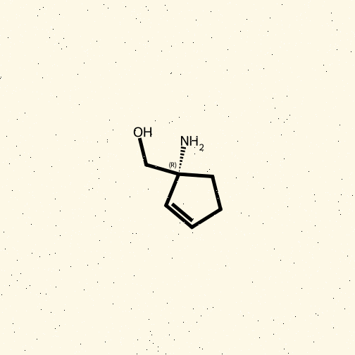 N[C@@]1(CO)C=CCC1